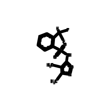 Cc1noc(NS(=O)(=O)c2ccccc2C(F)(F)F)c1C